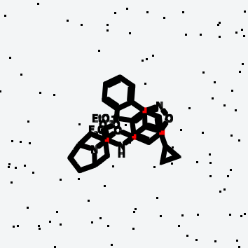 CCOC(=O)c1ccccc1NC(=O)N1C2CCC1CC(OCc1c(-c3ccccc3OC(F)(F)F)noc1C1CC1)C2